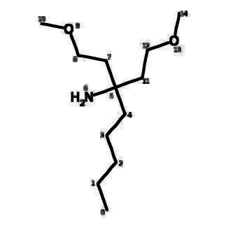 CCCCCC(N)(CCOC)CCOC